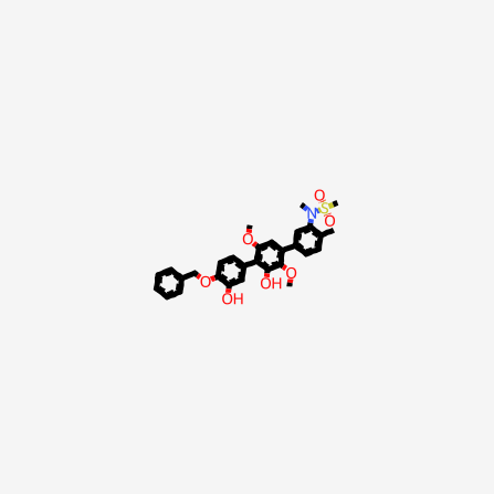 COc1cc(-c2ccc(C)c(N(C)S(C)(=O)=O)c2)c(OC)c(O)c1-c1ccc(OCc2ccccc2)c(O)c1